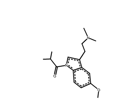 COc1ccc2c(c1)c(CCN(C)C)cn2C(=O)C(C)C